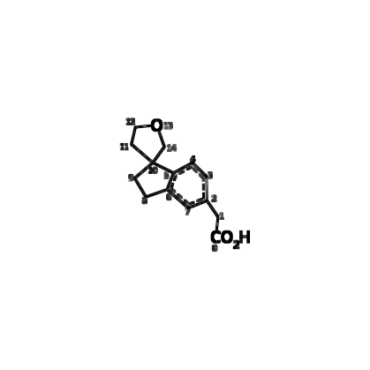 O=C(O)Cc1ccc2c(c1)CCC21CCOC1